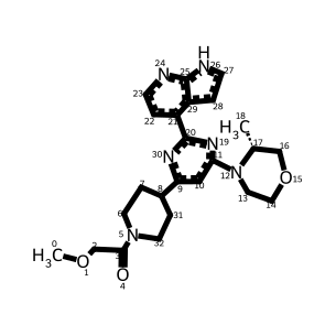 COCC(=O)N1CCC(c2cc(N3CCOC[C@H]3C)nc(-c3ccnc4[nH]ccc34)n2)CC1